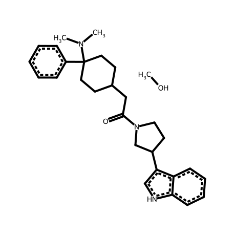 CN(C)C1(c2ccccc2)CCC(CC(=O)N2CCC(c3c[nH]c4ccccc34)C2)CC1.CO